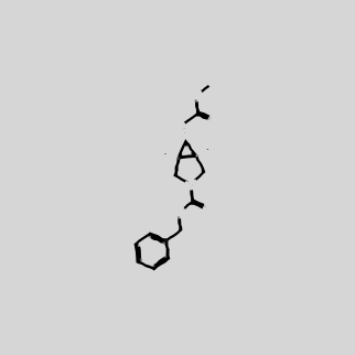 COC(=O)C[C@@H]1[C@H]2CN(C(=O)OCc3ccccc3)C[C@@H]12